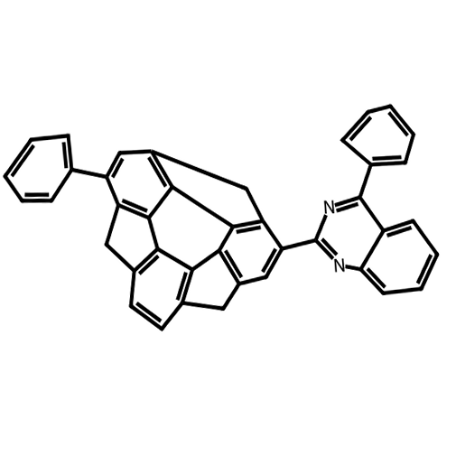 c1ccc(-c2cc3c4c5c2Cc2ccc6c(c25)c2c(cc(-c5nc(-c7ccccc7)c7ccccc7n5)c(c24)C3)C6)cc1